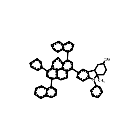 CC(C)(C)C1CCC2(C)C(C1)c1cc(-c3cc(-c4cccc5ccccc45)c4ccc5c(-c6ccccc6)cc(-c6cccc7ccccc67)c6ccc3c4c56)ccc1N2c1ccccc1